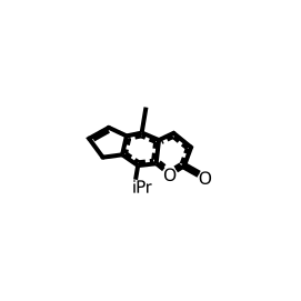 Cc1c2c(c(C(C)C)c3oc(=O)ccc13)CC=C2